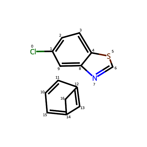 Clc1ccc2scnc2c1.c1cc2cc(c1)C2